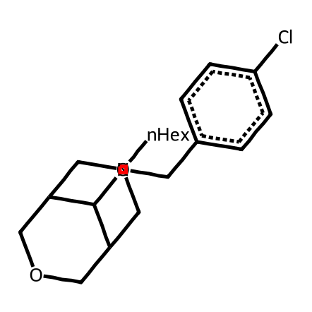 CCCCCCN1CC2COCC(C1)C2OCc1ccc(Cl)cc1